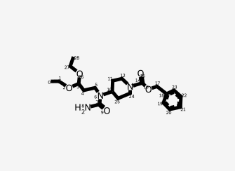 CCOC(CCN(C(N)=O)C1CCN(C(=O)OCc2ccccc2)CC1)OCC